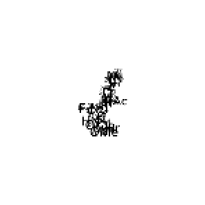 COC(=O)C1(NC(=O)[C@@H]2C[C@@H](F)CN2C(=O)Cn2nc(C(C)=O)c3cc(-c4cnc(C)nc4)ccc32)C=CC(Br)=NC1